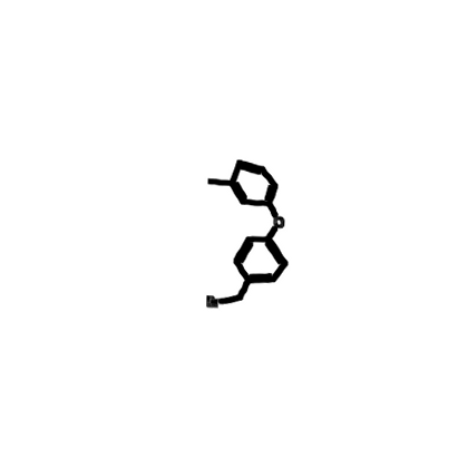 Cc1cccc(Oc2ccc(CBr)cc2)c1